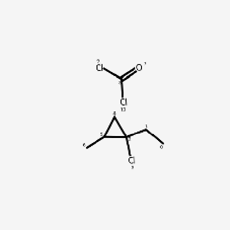 CCC1(Cl)CC1C.O=C(Cl)Cl